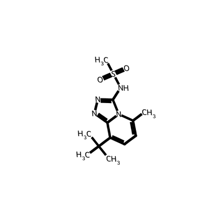 Cc1ccc(C(C)(C)C)c2nnc(NS(C)(=O)=O)n12